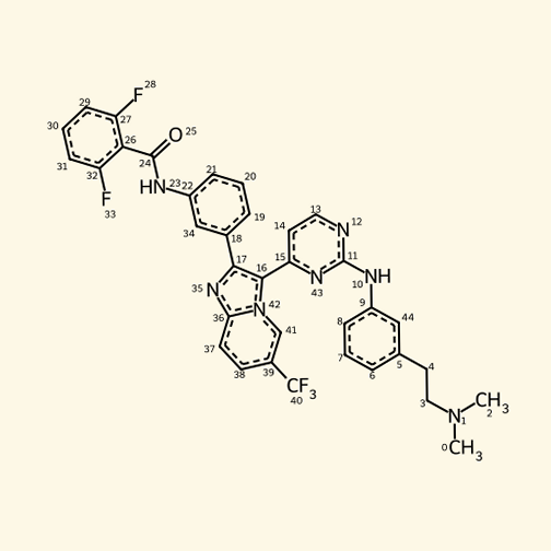 CN(C)CCc1cccc(Nc2nccc(-c3c(-c4cccc(NC(=O)c5c(F)cccc5F)c4)nc4ccc(C(F)(F)F)cn34)n2)c1